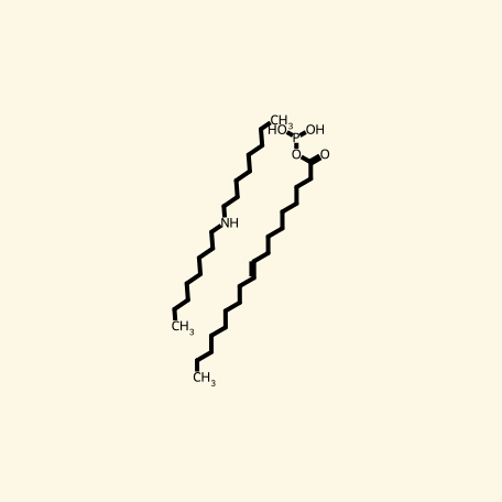 CCCCCCCCC=CCCCCCCCC(=O)OP(O)O.CCCCCCCCNCCCCCCCC